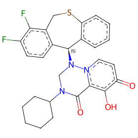 O=C1c2c(O)c(=O)ccn2N([C@@H]2c3ccccc3SCc3c2ccc(F)c3F)CN1C1CCCCC1